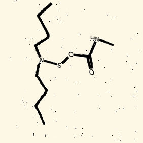 CCCCN(CCCC)SOC(=O)NC